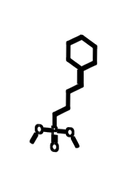 COP(=O)(CCCC=C1CCCCC1)OC